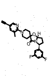 C#Cc1cnc(N2CCC3(CC2)O[C@@H]2CC[C@@H](c4cc(F)cc(F)c4)N2C3=O)c(C)c1